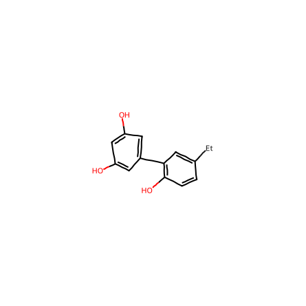 CCc1ccc(O)c(-c2cc(O)cc(O)c2)c1